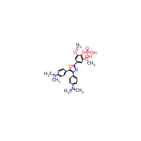 COc1cc(-c2nc(-c3ccc(N(C)C)cc3)c(-c3ccc(N(C)C)cc3)o2)cc(OC)c1OP(=O)(O)O